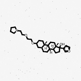 C[C@]12CCC(OCCOCCN3CCCC3)CC1CC[C@@H]1[C@H]2CC[C@@]2(C)[C@H]1CCC2(O)c1ccoc1